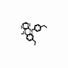 CCc1ccc(Nc2nccnc2N(C)c2ccc(CC)cc2)cc1